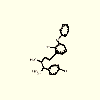 CC(CCc1cccc(Oc2ccccc2)c1C#N)C(C(=O)O)c1ccc(Cl)cc1